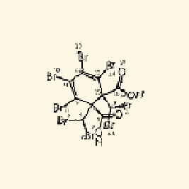 O=C(O)C1(C(Br)Br)C(Br)=C(Br)C(Br)=C(Br)C1(C(=O)O)C(Br)Br